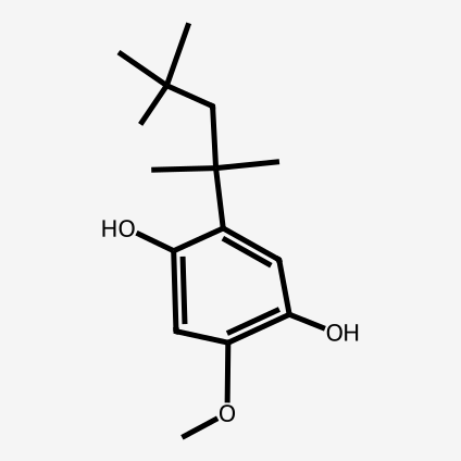 COc1cc(O)c(C(C)(C)CC(C)(C)C)cc1O